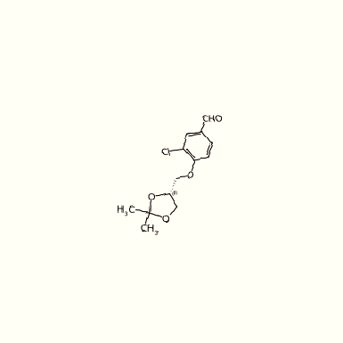 CC1(C)OC[C@@H](COc2ccc(C=O)cc2Cl)O1